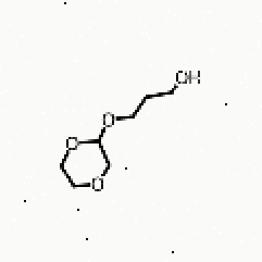 OCCCOC1COCCO1